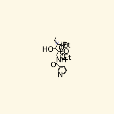 C/C=C(\C(C)C)C(O)C(CNC(=O)c1cccnc1)P(=O)(OCC)OCC